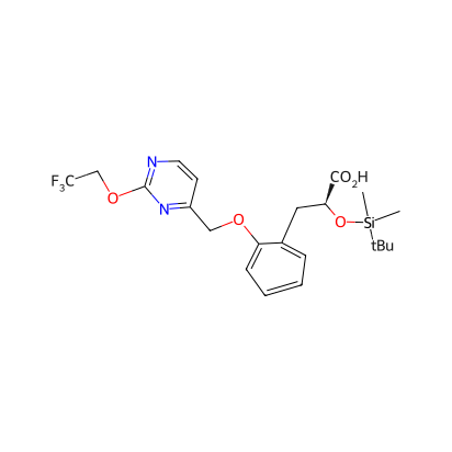 CC(C)(C)[Si](C)(C)O[C@@H](Cc1ccccc1OCc1ccnc(OCC(F)(F)F)n1)C(=O)O